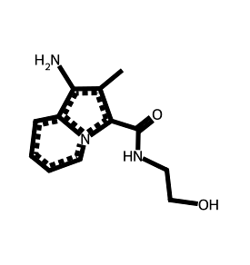 Cc1c(N)c2ccccn2c1C(=O)NCCO